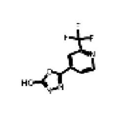 Oc1nnc(-c2ccnc(C(F)(F)F)c2)o1